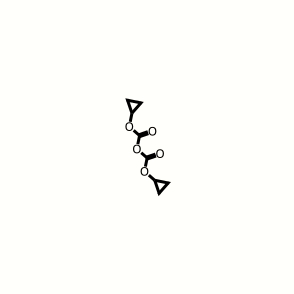 O=C(OC(=O)OC1CC1)OC1CC1